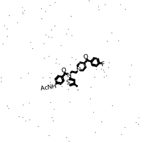 CC(=O)Nc1ccc(C(=O)N(CCN2CCC(C(=O)c3ccc(F)cc3)CC2)c2cc(C)cs2)cc1